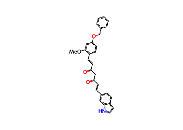 COc1cc(OCc2ccccc2)ccc1C=CC(=O)CC(=O)C=Cc1ccc2cc[nH]c2c1